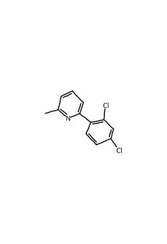 Cc1cccc(-c2ccc(Cl)cc2Cl)n1